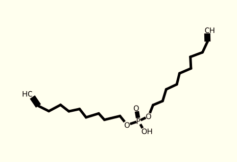 C#CCCCCCCCCOP(=O)(O)OCCCCCCCCC#C